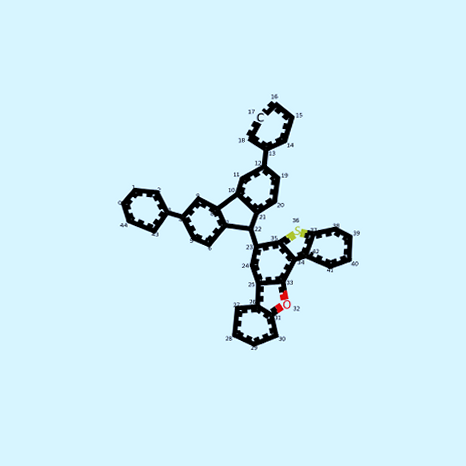 c1ccc(-c2ccc3c(c2)-c2cc(-c4ccccc4)ccc2C3c2cc3c4ccccc4oc3c3c2sc2ccccc23)cc1